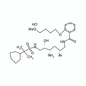 COCCCCOc1ccccc1C(=O)NC[C@@H](C[C@H](N)[C@@H](O)CNS(=O)(=O)C(C)(C)C1CCCCC1)C(C)C.Cl